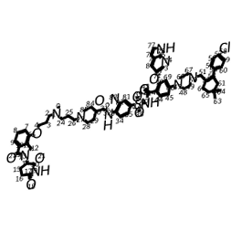 CN(CCCOc1cccc2c1CN(C1CCC(=O)NC1=O)C2=O)CCCN1CCC(CNc2ccc(S(=O)(=O)NC(=O)c3ccc(N4CCN(CC5=C(c6ccc(Cl)cc6)CC(C)(C)CC5)CC4)cc3Oc3cnc4[nH]ccc4c3)cc2[N+](=O)[O-])CC1